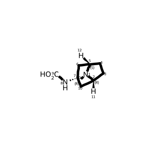 CN1[C@@H]2CC[C@H]1C[C@@H](NC(=O)O)C2